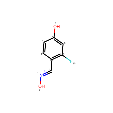 O/N=C/c1ccc(O)cc1F